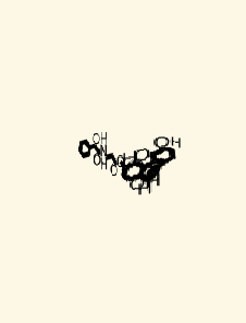 O=C(CCNC(=O)C(O)c1ccccc1)OC1=CC[C@@]2(O)[C@@H]3CCC[C@@]24c2c(ccc(O)c2O[C@@H]14)C3